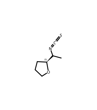 CC(N=C=S)[C@@H]1CCCO1